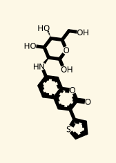 O=c1oc2cc(N[C@@H]3C(O)OC(CO)[C@@H](O)C3O)ccc2cc1-c1cccs1